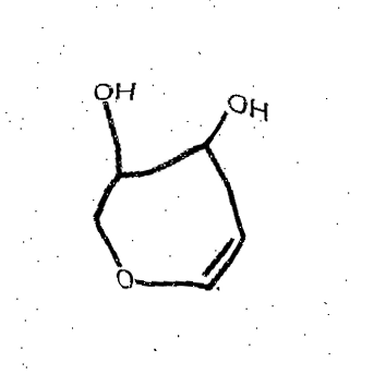 OC1C=[C]OCC1O